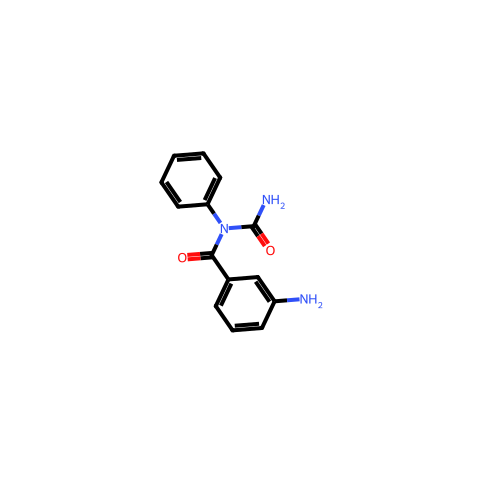 NC(=O)N(C(=O)c1cccc(N)c1)c1ccccc1